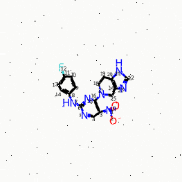 O=[N+]([O-])c1cnc(Nc2ccc(F)cc2)nc1N1CCc2[nH]cnc2C1